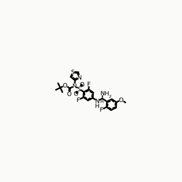 COc1ccc(F)c([C@H](N)Nc2cc(F)c(S(=O)(=O)N(C(=O)OC(C)(C)C)c3cscn3)c(F)c2)c1